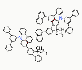 CC1(C)c2ccccc2-c2ccc(-c3ccc(N(c4cc(-c5ccccc5)cc(-c5ccccc5)c4)c4ccccc4-c4cccc(-c5cccc6c(-c7ccc8c(c7)-c7ccc(N(c9cc(-c%10ccccc%10)cc(-c%10ccccc%10)c9)c9ccccc9-c9cccc(-c%10cccc%11ccccc%10%11)c9)cc7C8(C)C)cccc56)c4)cc3)cc21